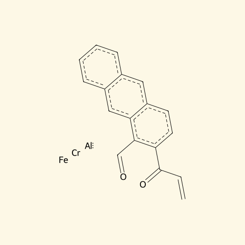 C=CC(=O)c1ccc2cc3ccccc3cc2c1C=O.[Al].[Cr].[Fe]